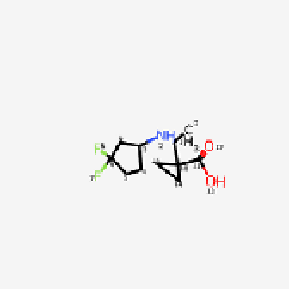 CC(NC1CCC(F)(F)C1)C1(C(=O)O)CC1